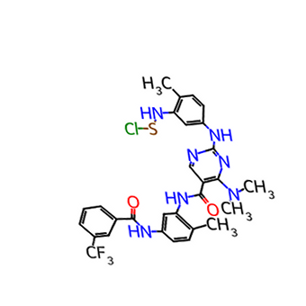 Cc1ccc(Nc2ncc(C(=O)Nc3cc(NC(=O)c4cccc(C(F)(F)F)c4)ccc3C)c(N(C)C)n2)cc1NSCl